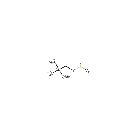 CO[Si](C)(CCSC(C)=O)OC